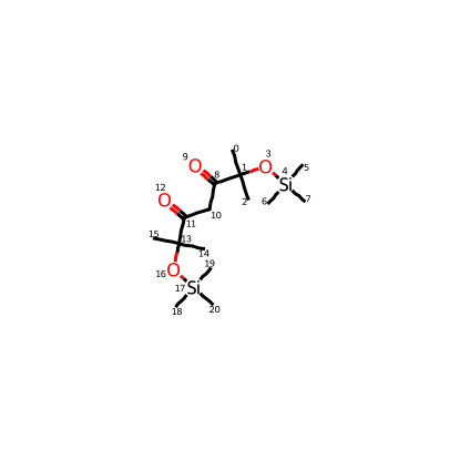 CC(C)(O[Si](C)(C)C)C(=O)CC(=O)C(C)(C)O[Si](C)(C)C